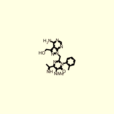 CNc1c(C(C)=N)nc(Cn2nc(CO)c3c(N)ncnc32)n(-c2ccccc2C)c1=O